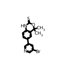 CC1(C)OC(=S)Nc2ccc(-c3cncc(Br)c3)cc21